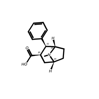 CN1[C@@H]2CC[C@H]1[C@H](c1ccccc1)[C@H](C(=O)O)C2